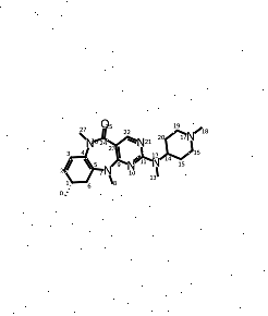 C[C@@H]1C=CC2=C(C1)N(C)c1nc(N(C)C3CCN(C)CC3)ncc1C(=O)N2C